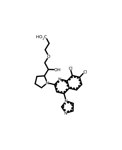 O=C(O)CCOCC(O)C1CCCN1c1cc(-n2ccnc2)c2ccc(Cl)c(Cl)c2n1